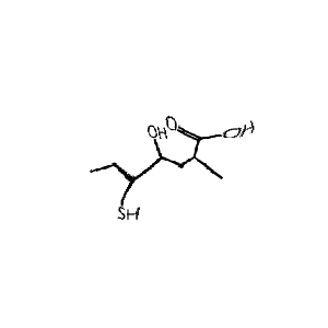 CCC(S)C(O)CC(C)C(=O)O